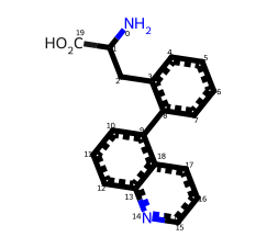 NC(Cc1ccccc1-c1cccc2ncccc12)C(=O)O